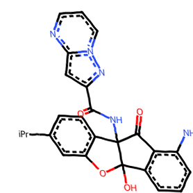 CC(C)c1ccc2c(c1)OC1(O)c3cccc(N)c3C(=O)C21NC(=O)c1cc2ncccn2n1